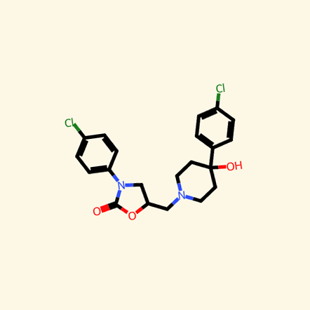 O=C1OC(CN2CCC(O)(c3ccc(Cl)cc3)CC2)CN1c1ccc(Cl)cc1